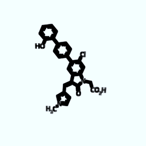 Cn1ccc(C=C2C(=O)N(CC(=O)O)c3cc(Cl)c(-c4ccc(-c5ccccc5O)cc4)cc32)c1